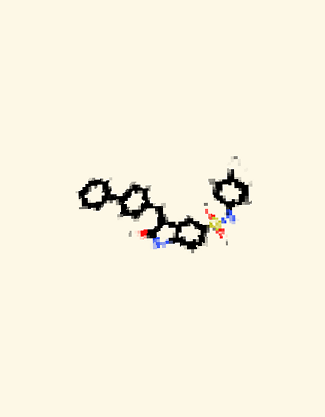 O=C1Nc2ccc(S(=O)(=O)Nc3ccc(C(F)(F)F)cc3)cc2C1=Cc1ccc(-c2ccccc2)cc1